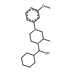 COc1cc(N2CCN(C(O)C3CCCCC3)C(C)C2)ccn1